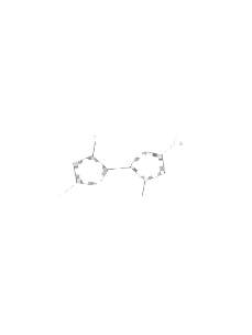 Fc1cc(Br)sc1-c1sc(Br)cc1F